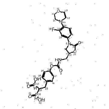 O=C(NC[C@H]1CN(c2ccc(N3CCOCC3)c(F)c2)C(=O)O1)Oc1ccc(CC([PH](=O)O)[PH](=O)O)cc1